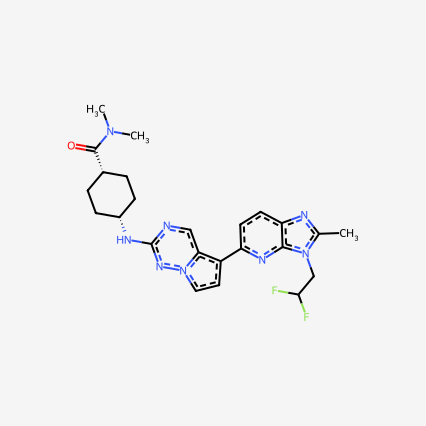 Cc1nc2ccc(-c3ccn4nc(N[C@H]5CC[C@@H](C(=O)N(C)C)CC5)ncc34)nc2n1CC(F)F